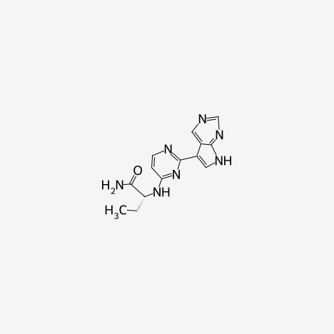 CC[C@@H](Nc1ccnc(-c2c[nH]c3ncncc23)n1)C(N)=O